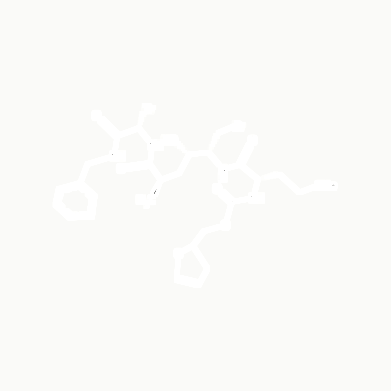 CSCC[C@H](NC(=O)OCC1CC=CO1)C(=O)N[C@@H](CC(C)C)[C@@H](O)C[C@@H](C)C(=O)N[C@H](C(=O)NCc1ccccc1)C(C)C